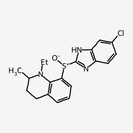 CCN1c2c(cccc2[S+]([O-])c2nc3ccc(Cl)cc3[nH]2)CCC1C